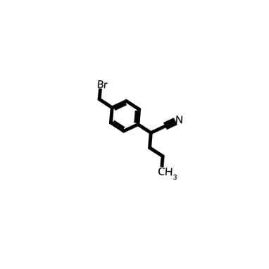 CCCC(C#N)c1ccc(CBr)cc1